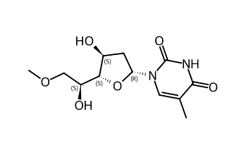 COC[C@H](O)[C@H]1O[C@@H](n2cc(C)c(=O)[nH]c2=O)C[C@@H]1O